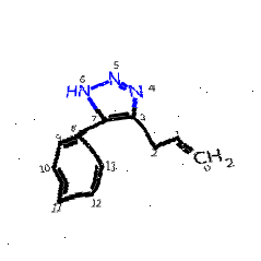 C=CCc1nn[nH]c1-c1ccccc1